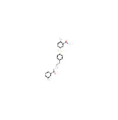 NC(=O)c1cc(S(=O)(=O)c2ccc(CCNC[C@H](O)c3cccc(Cl)c3)cc2)ccc1N